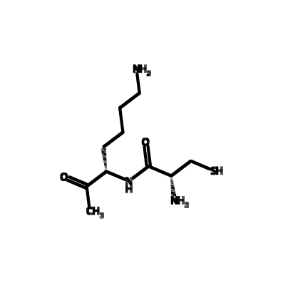 CC(=O)[C@H](CCCCN)NC(=O)[C@@H](N)CS